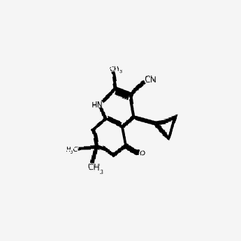 CC1=C(C#N)C(C2CC2)C2=C(CC(C)(C)CC2=O)N1